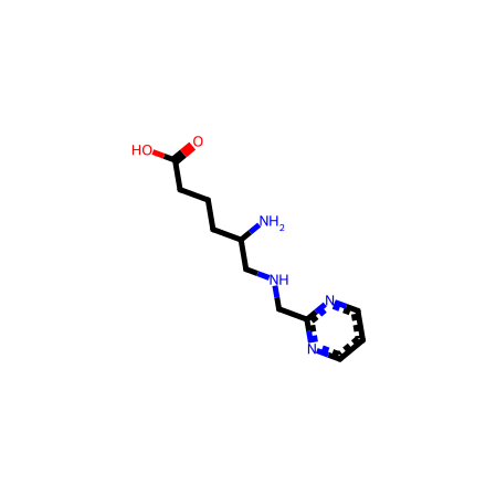 NC(CCCC(=O)O)CNCc1ncccn1